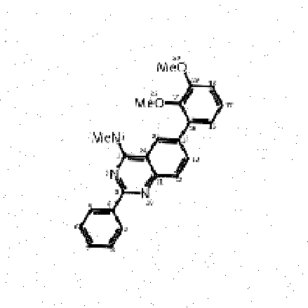 CNc1nc(-c2ccccc2)nc2ccc(-c3cccc(OC)c3OC)cc12